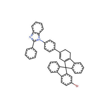 Brc1ccc2c(c1)C1(C3=C(CCC(c4ccc(-n5c(-c6ccccc6)nc6ccccc65)cc4)=C3)c3ccccc31)c1ccccc1-2